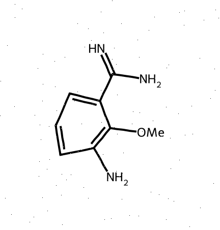 COc1c(N)cccc1C(=N)N